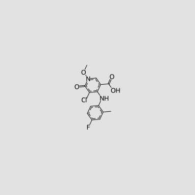 COn1cc(C(=O)O)c(Nc2ccc(F)cc2C)c(Cl)c1=O